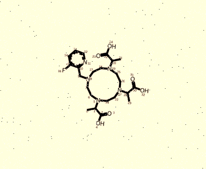 CC(C(=O)O)N1CCN(Cc2ncccc2F)CCN(C(C)C(=O)O)CCN(C(C)C(=O)O)CC1